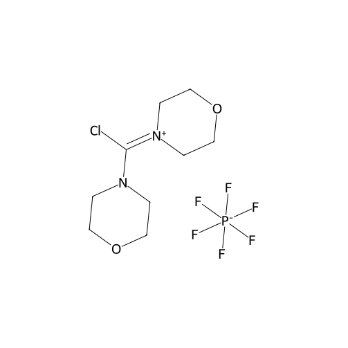 ClC(N1CCOCC1)=[N+]1CCOCC1.F[P-](F)(F)(F)(F)F